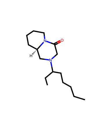 CCCCCC(CC)N1CC(=O)N2CCCC[C@@H]2C1